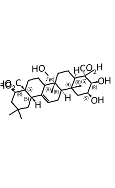 CC1(C)C[C@@H](O)[C@]2(C(=O)O)CC[C@]3(CO)C(=CC[C@@H]4[C@@]5(C)C[C@H](O)[C@H](O)[C@@](C)(C(=O)O)[C@@H]5CC[C@]43C)[C@@H]2C1